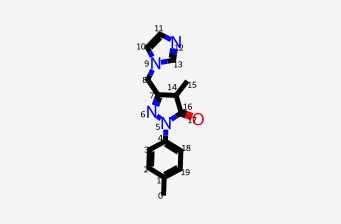 Cc1ccc(N2N=C(Cn3ccnc3)C(C)C2=O)cc1